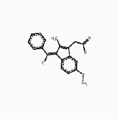 COc1ccc2c(c1)C(CC(=O)Cl)=C(C)/C2=C(/Cl)c1ccccc1